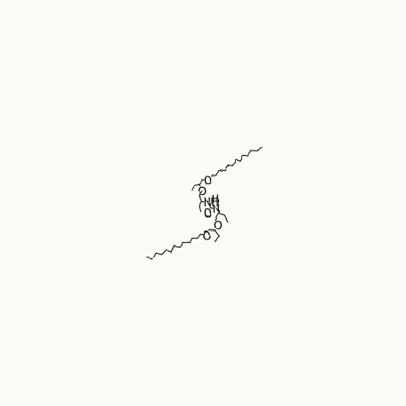 CCCCCCCCCCCCCOCC(CC)OCC(CC)NC(=O)NC(CC)COC(CC)COCCCCCCCCCCCCC